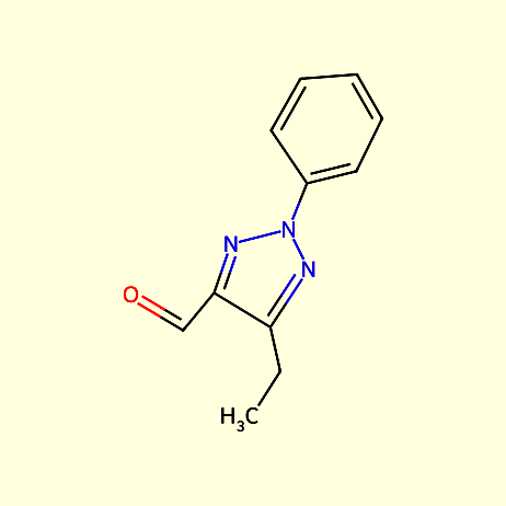 CCc1nn(-c2ccccc2)nc1C=O